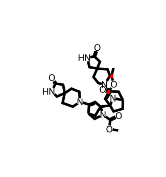 CCOC(=O)N1C2CCC1(C13C=C(N4CCC5(CC4)CNC(=O)C5)C(CN1C(=O)OC)C3)C=C(N1CCC3(CC1)CNC(=O)C3)C2